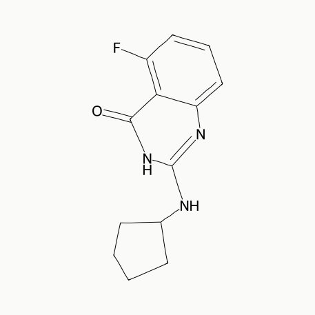 O=c1[nH]c(NC2CCCC2)nc2cccc(F)c12